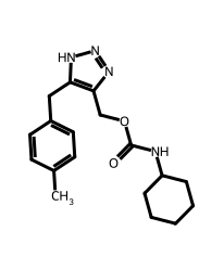 Cc1ccc(Cc2[nH]nnc2COC(=O)NC2CCCCC2)cc1